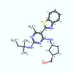 CCC(C)(C)Nc1nc(C)c(-c2nc3ccccc3s2)c(N[C@H]2CC[C@@H](CO)C2)n1